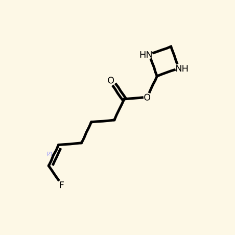 O=C(CCC/C=C\F)OC1NCN1